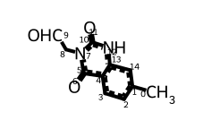 Cc1ccc2c(=O)n(CC=O)c(=O)[nH]c2c1